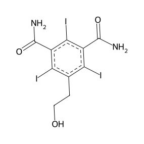 NC(=O)c1c(I)c(CCO)c(I)c(C(N)=O)c1I